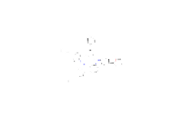 CC(C)(C)c1ccc(N2B3c4cc5c(cc4-n4c6cc7oc8ccccc8c7cc6c6ccc(c3c64)-c3cc(C(C)(C)C)ccc32)-c2ccccc2C5(C)C)cc1